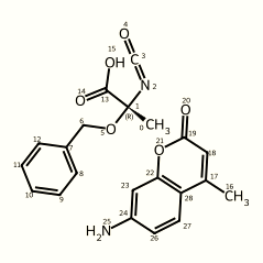 C[C@@](N=C=O)(OCc1ccccc1)C(=O)O.Cc1cc(=O)oc2cc(N)ccc12